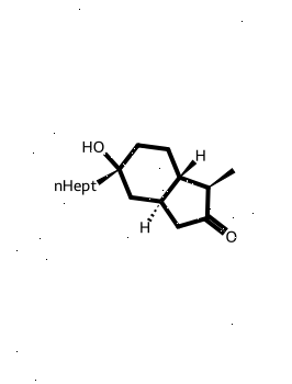 CCCCCCC[C@@]1(O)CC[C@H]2[C@@H](CC(=O)[C@@H]2C)C1